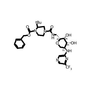 CC(C)(C)C1CN(C(=O)NC[C@H]2OC[C@H](Nc3cncc(C(F)(F)F)n3)[C@@H](O)[C@H]2O)CCN1C(=O)OCc1ccccc1